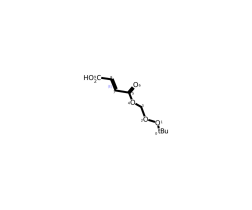 CC(C)(C)OOCOC(=O)/C=C/C(=O)O